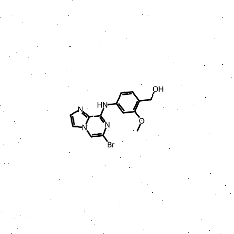 COc1cc(Nc2nc(Br)cn3ccnc23)ccc1CO